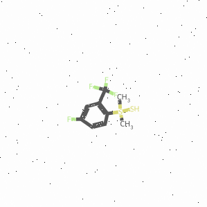 CS(C)(S)c1ccc(F)cc1C(F)(F)F